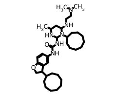 CC1CC(NCCN(C)C)N(C2CCCCCCCC2)C(NC(=O)Nc2ccc3c(c2)C(C2CCCCCCCC2)CO3)N1